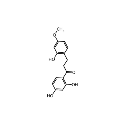 COc1ccc(CCC(=O)c2ccc(O)cc2O)c(O)c1